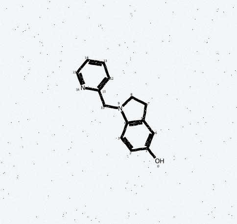 Oc1ccc2c(c1)CCN2Cc1ccccn1